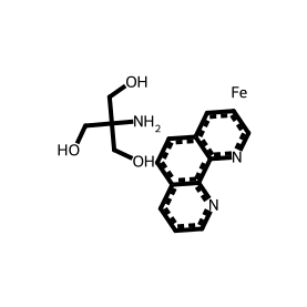 NC(CO)(CO)CO.[Fe].c1cnc2c(c1)ccc1cccnc12